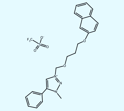 Cn1n[n+](COCCCOc2ccc3ccccc3c2)cc1-c1ccccc1.O=S(=O)([O-])C(F)(F)F